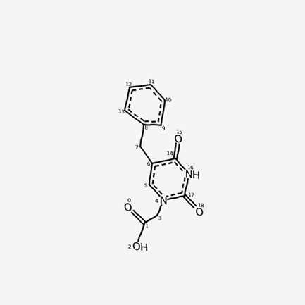 O=C(O)Cn1cc(Cc2ccccc2)c(=O)[nH]c1=O